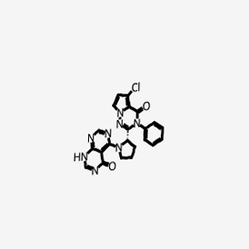 O=c1nc[nH]c2ncnc(N3CCC[C@H]3c3nn4ccc(Cl)c4c(=O)n3-c3ccccc3)c12